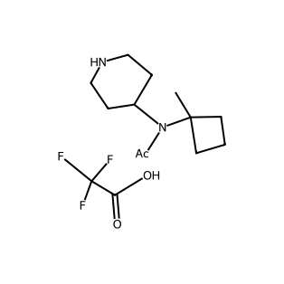 CC(=O)N(C1CCNCC1)C1(C)CCC1.O=C(O)C(F)(F)F